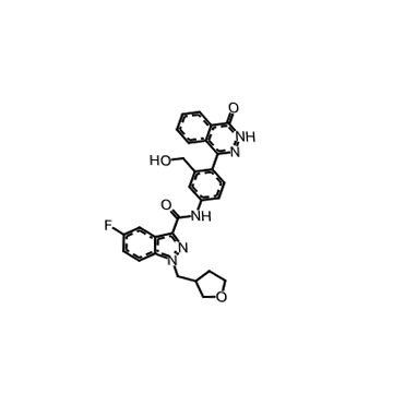 O=C(Nc1ccc(-c2n[nH]c(=O)c3ccccc23)c(CO)c1)c1nn(CC2CCOC2)c2ccc(F)cc12